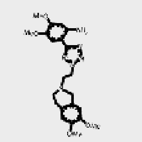 COc1cc(N)c(-c2nnn(CCN3CCc4cc(OC)c(OC)cc4C3)n2)cc1OC